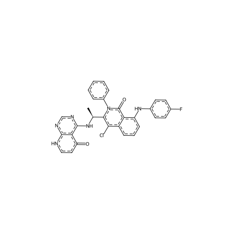 C[C@H](Nc1ncnc2[nH]ccc(=O)c12)c1c(Cl)c2cccc(Nc3ccc(F)cc3)c2c(=O)n1-c1ccccc1